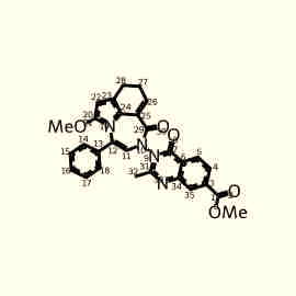 COC(=O)c1ccc2c(=O)n(N3C=C(c4ccccc4)n4c(OC)cc5c4C(=CCC5)C3=O)c(C)nc2c1